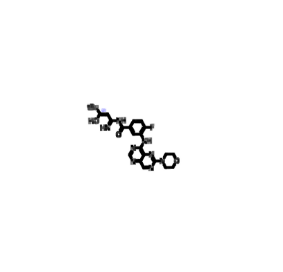 CC(C)(C)/C(O)=C/C(=N)NC(=O)c1ccc(F)c(Nc2ncnc3cnc(N4CCOCC4)nc23)c1